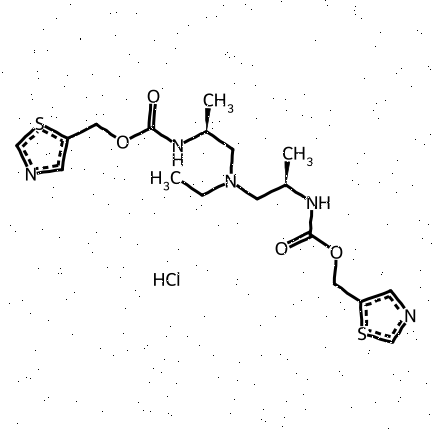 CCN(C[C@@H](C)NC(=O)OCc1cncs1)C[C@H](C)NC(=O)OCc1cncs1.Cl